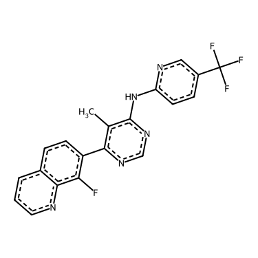 Cc1c(Nc2ccc(C(F)(F)F)cn2)ncnc1-c1ccc2cccnc2c1F